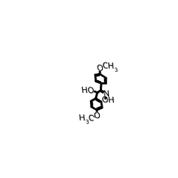 COc1ccc(C(=NO)C(O)c2ccc(OC)cc2)cc1